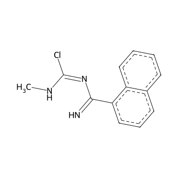 CN/C(Cl)=N\C(=N)c1cccc2ccccc12